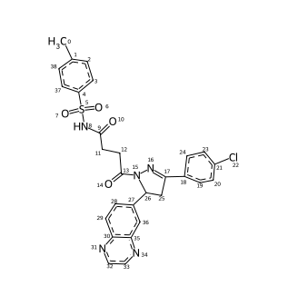 Cc1ccc(S(=O)(=O)NC(=O)CCC(=O)N2N=C(c3ccc(Cl)cc3)CC2c2ccc3nccnc3c2)cc1